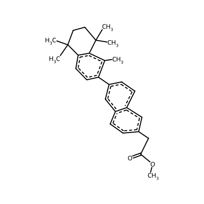 COC(=O)Cc1ccc2cc(-c3ccc4c(c3C)C(C)(C)CCC4(C)C)ccc2c1